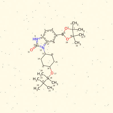 CC1(C)OB(c2ccc3[nH]c(=O)n(C4CCC(O[Si](C)(C)C(C)(C)C)CC4)c3c2)OC1(C)C